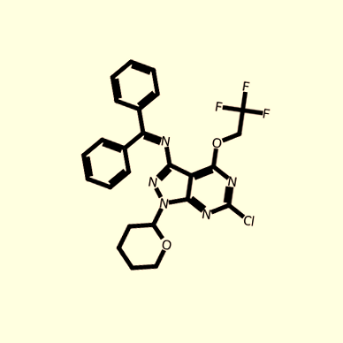 FC(F)(F)COc1nc(Cl)nc2c1c(N=C(c1ccccc1)c1ccccc1)nn2C1CCCCO1